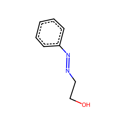 OCCN=Nc1ccccc1